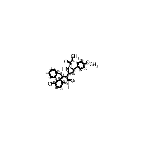 CCC(=O)N1NC(c2c(Cc3ccccc3)c3cc(Cl)ccc3[nH]c2=O)CC1c1ccc(OC)cc1